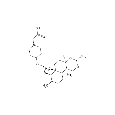 CC1CCC2[C@]3(C)CO[C@@H](C)O[C@@H]3CC[C@@]2(C)[C@@H]1CCOC1CCN(CC(=O)O)CC1